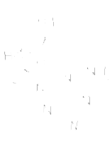 C#C[C@H](O)[C@@H](CO)O[C@H](CF)n1cnc2c(N3CCCC3)nc(N)nc21